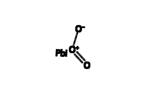 O=[O+][O-].[Pb]